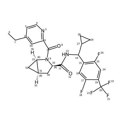 CCc1ccnc(C(=O)N2[C@@H](C(=O)NC(c3cc(F)c(C(F)(F)F)cc3F)C3CC3)C[C@H]3C[C@H]32)c1